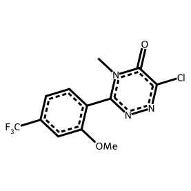 COc1cc(C(F)(F)F)ccc1-c1nnc(Cl)c(=O)n1C